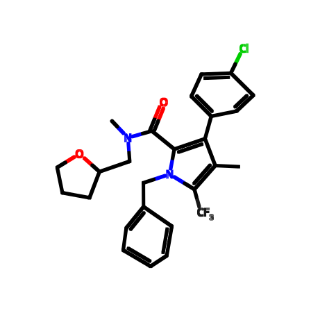 Cc1c(-c2ccc(Cl)cc2)c(C(=O)N(C)CC2CCCO2)n(Cc2ccccc2)c1C(F)(F)F